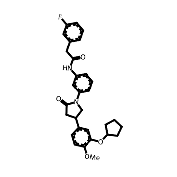 COc1ccc(C2CC(=O)N(c3cccc(NC(=O)Cc4cccc(F)c4)c3)C2)cc1OC1CCCC1